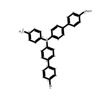 CCCCCc1ccc(-c2ccc(N(c3ccc(C)cc3)c3ccc(-c4ccc(Br)cc4)cc3)cc2)cc1